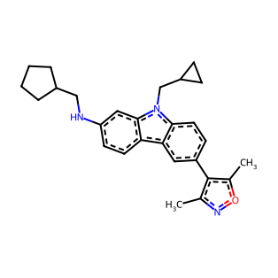 Cc1noc(C)c1-c1ccc2c(c1)c1ccc(NCC3CCCC3)cc1n2CC1CC1